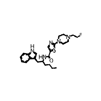 CCCCC(Cc1c[nH]c2ccccc12)NC(=O)c1cnc(N2CCN(CCF)CC2)s1